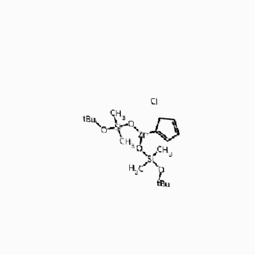 CC(C)(C)O[Si](C)(C)[O][Zr+]([O][Si](C)(C)OC(C)(C)C)[C]1=CC=CC1.[Cl-]